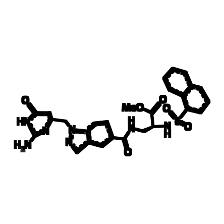 COC(=O)[C@H](CNC(=O)c1ccc2c(cnn2Cc2cc(=O)[nH]c(N)n2)c1)NS(=O)(=O)c1cccc2ccccc12